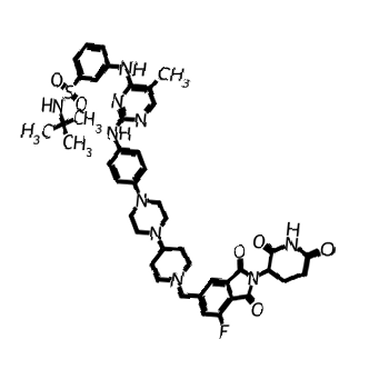 Cc1cnc(Nc2ccc(N3CCN(C4CCN(Cc5cc(F)c6c(c5)C(=O)N(C5CCC(=O)NC5=O)C6=O)CC4)CC3)cc2)nc1Nc1cccc(S(=O)(=O)NC(C)(C)C)c1